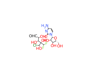 Nc1ccn([C@@H]2O[C@H](CO)[C@@H](O)[C@H]2O)c(=O)n1.O=CC(O)C(O)C(O)(C(F)F)C(O)Cl